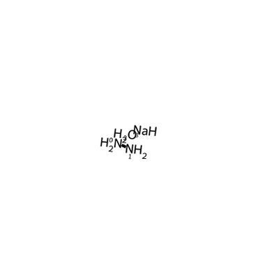 NN.O.[NaH]